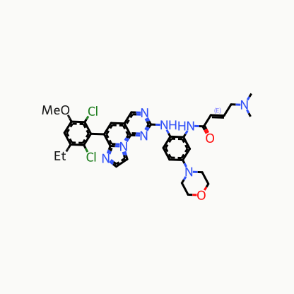 CCc1cc(OC)c(Cl)c(-c2cc3cnc(Nc4ccc(N5CCOCC5)cc4NC(=O)/C=C/CN(C)C)nc3n3ccnc23)c1Cl